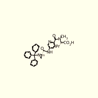 CC(C)[C@@H](C(=O)O)N(C)C(=O)c1ccc(NC(=O)[C@@H]2CN2C(c2ccccc2)(c2ccccc2)c2ccccc2)cn1